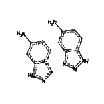 Nc1ccc2[nH]nnc2c1.Nc1ccc2cn[nH]c2c1